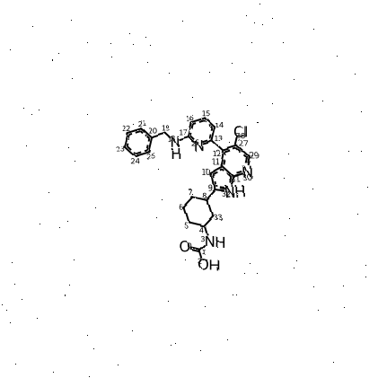 O=C(O)NC1CCCC(c2cc3c(-c4cccc(NCc5ccccc5)n4)c(Cl)cnc3[nH]2)C1